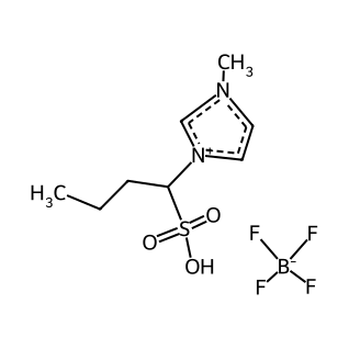 CCCC([n+]1ccn(C)c1)S(=O)(=O)O.F[B-](F)(F)F